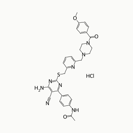 COc1ccc(C(=O)N2CCN(Cc3cccc(CSc4nc(N)c(C#N)c(-c5ccc(NC(C)=O)cc5)n4)n3)CC2)cc1.Cl